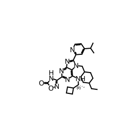 CCC1CCC(Cn2c(-c3cc(C(C)C)ccn3)nc3nc(-c4noc(=O)[nH]4)nc(N[C@H](C)C4CCC4)c32)CC1